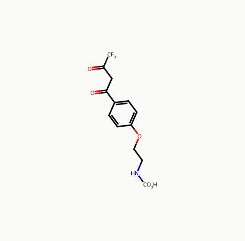 O=C(O)NCCOc1ccc(C(=O)CC(=O)C(F)(F)F)cc1